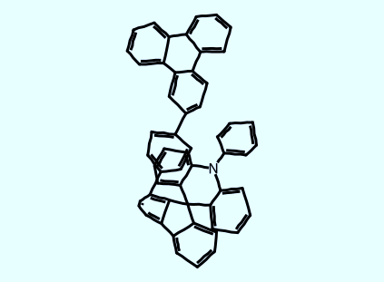 c1ccc(N2c3ccccc3C3(c4ccccc4-c4cccc(-c5ccc(-c6ccc7c8ccccc8c8ccccc8c7c6)cc5)c43)c3ccccc32)cc1